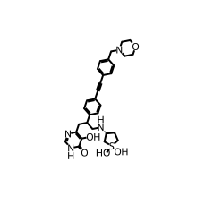 O=c1[nH]cnc(CC(CN[C@@H]2CCS(O)(O)C2)c2ccc(C#Cc3ccc(CN4CCOCC4)cc3)cc2)c1O